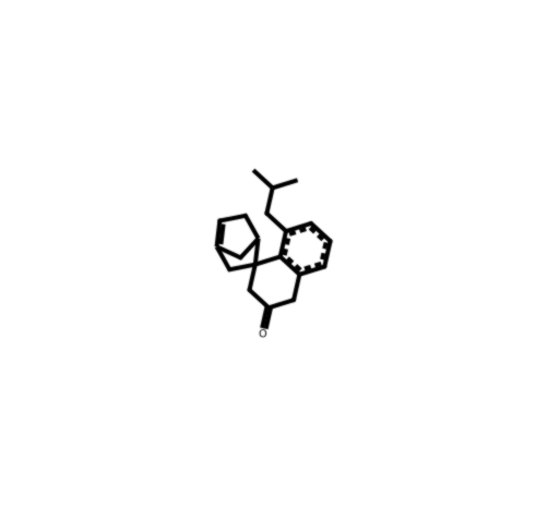 CC(C)Cc1cccc2c1C1(CC(=O)C2)CC2=CCC1C2